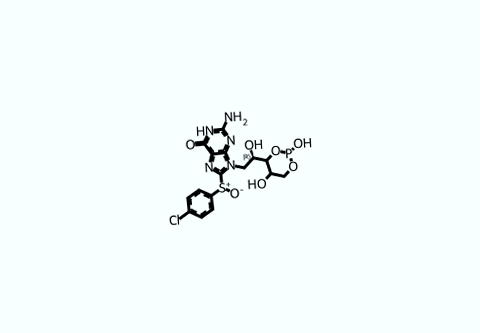 Nc1nc2c(nc([S+]([O-])c3ccc(Cl)cc3)n2C[C@@H](O)C2OP(O)OCC2O)c(=O)[nH]1